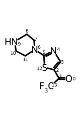 O=C(c1cnc(N2CCNCC2)s1)C(F)(F)F